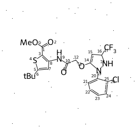 COC(=O)c1sc(C(C)(C)C)cc1NC(=O)COC1=CC(C(F)(F)F)NN1c1ccccc1Cl